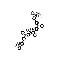 Cn1c2cc(N(c3ccccc3)c3ccc(-c4ccc5c(c4)C(C)(C)c4ccccc4-5)cc3)ccc2c2c3ccccc3c3c4ccc(N(c5ccccc5)c5ccc(-c6ccc7c(c6)C(C)(C)C6=C7CCC=C6)cc5)cc4[nH]c3c21